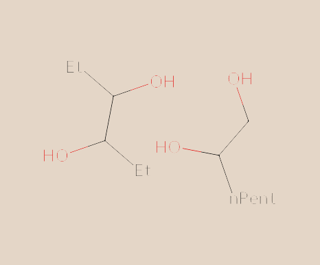 CCC(O)C(O)CC.CCCCCC(O)CO